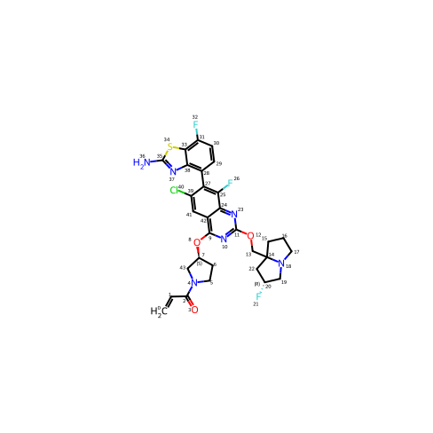 C=CC(=O)N1CC[C@H](Oc2nc(OCC34CCCN3C[C@H](F)C4)nc3c(F)c(-c4ccc(F)c5sc(N)nc45)c(Cl)cc23)C1